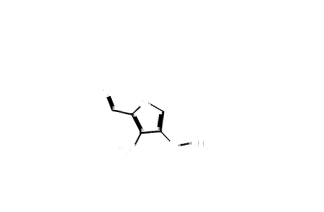 COc1coc(C=O)c1C